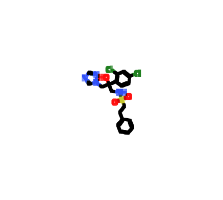 O=S(=O)(CCc1ccccc1)NCC(O)(Cn1cncn1)c1ccc(Cl)cc1Cl